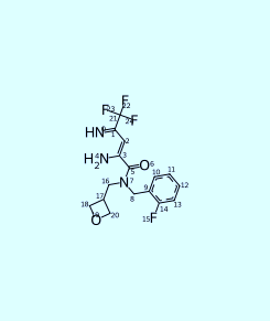 N=C(/C=C(\N)C(=O)N(Cc1ccccc1F)CC1COC1)C(F)(F)F